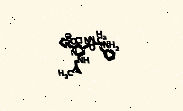 CC1CC1CNc1cc(-c2nnc([C@](C)(N)Cc3ccccc3)o2)c(Cl)c(N2CCCS2(=O)=O)n1